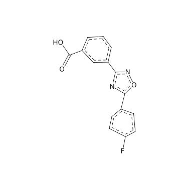 O=C(O)c1cccc(-c2noc(-c3ccc(F)cc3)n2)c1